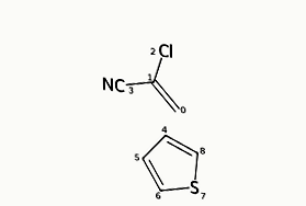 C=C(Cl)C#N.c1ccsc1